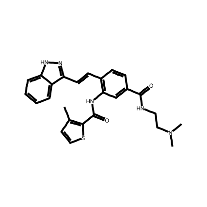 Cc1ccsc1C(=O)Nc1cc(C(=O)NCCN(C)C)ccc1C=Cc1n[nH]c2ccccc12